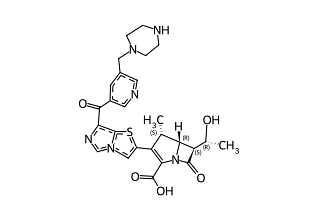 C[C@@H](O)[C@H]1C(=O)N2C(C(=O)O)=C(c3cn4cnc(C(=O)c5cncc(CN6CCNCC6)c5)c4s3)[C@H](C)[C@H]12